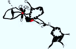 O=C(Nc1cc(F)c(F)c(F)c1)c1ccc(Cl)c(S(=O)(=O)C2C3CC[C@H]2CC(O)(C#CSI)C3)c1